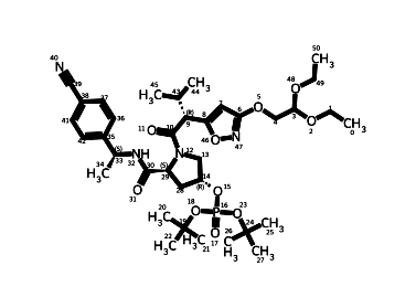 CCOC(COc1cc([C@H](C(=O)N2C[C@H](OP(=O)(OC(C)(C)C)OC(C)(C)C)C[C@H]2C(=O)N[C@@H](C)c2ccc(C#N)cc2)C(C)C)on1)OCC